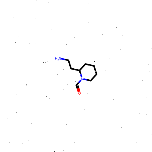 NCCC1CCCCN1[C]=O